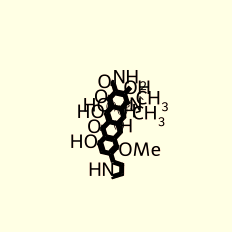 COc1c(C2CCCN2)cc(O)c2c1C[C@H]1C[C@H]3[C@H](N(C)C)C(O)=C(C(N)=O)C(=O)[C@@]3(O)C(O)=C1C2=O